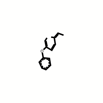 C\C=C(C)/C=C\C(=C/C)Oc1ccccc1